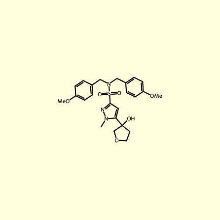 COc1ccc(CN(Cc2ccc(OC)cc2)S(=O)(=O)c2cc(C3(O)CCOC3)n(C)n2)cc1